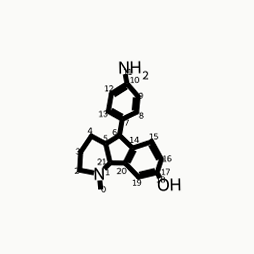 CN1CCCC2C(c3ccc(N)cc3)c3ccc(O)cc3C21